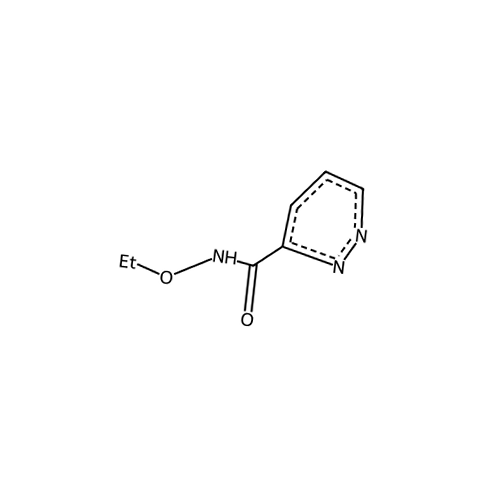 CCONC(=O)c1cccnn1